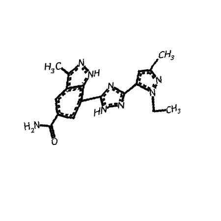 CCn1nc(C)cc1-c1n[nH]c(-c2cc(C(N)=O)cc3c(C)n[nH]c23)n1